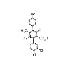 CCn1c(C)c(-c2ccc(C(C)=O)cc2)c(=O)c(C(=O)O)c1-c1ccc(Cl)c(Cl)c1